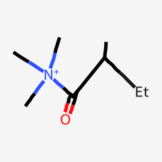 CCC(C)C(=O)[N+](C)(C)C